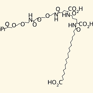 CC(C)C(=O)COCCOCCNC(=O)COCCOCCNC(=O)CC[C@H](NC(=O)CC[C@H](NC(=O)CCCCCCCCCCCCCCCCCCC(=O)O)C(=O)O)C(=O)O